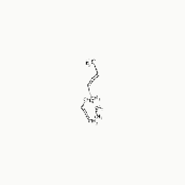 C=C.C=CC.CC=CC